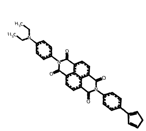 CCN(CC)c1ccc(N2C(=O)c3ccc4c5c(ccc(c35)C2=O)C(=O)N(c2ccc(C3=CCC=C3)cc2)C4=O)cc1